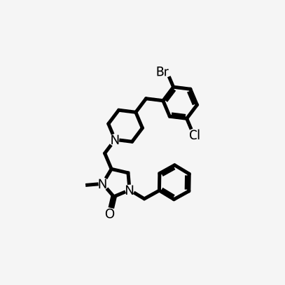 CN1C(=O)N(Cc2ccccc2)CC1CN1CCC(Cc2cc(Cl)ccc2Br)CC1